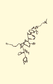 CC(C)CCCn1nc(NC(=O)c2cnsc2)c2cc(Br)c(-c3ccc(OC(=O)NCCN(C)C)cc3)nc21